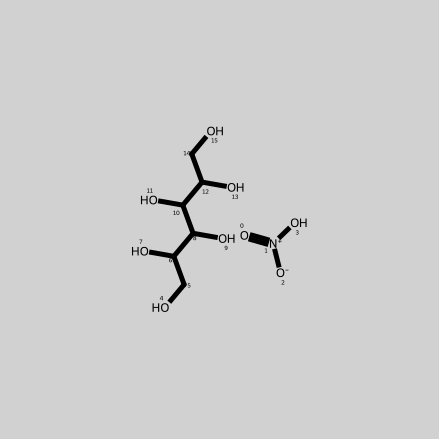 O=[N+]([O-])O.OCC(O)C(O)C(O)C(O)CO